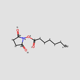 CCC(C)CCCCCC(=O)ON1C(=O)CCC1=O